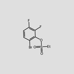 CCS(=O)(=O)Oc1c(Br)ccc(F)c1F